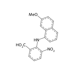 COc1ccc2cccc(Nc3c(C(=O)O)cccc3[N+](=O)[O-])c2c1